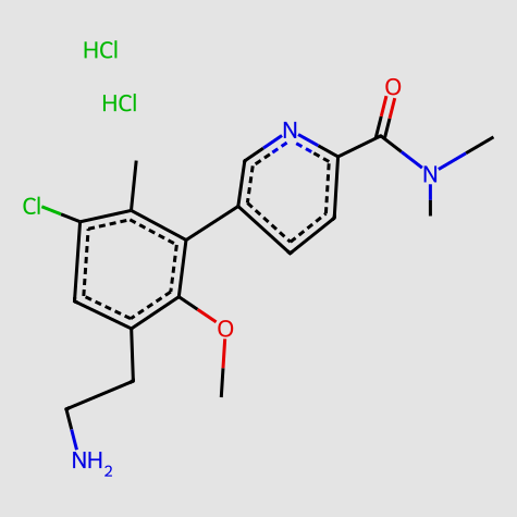 COc1c(CCN)cc(Cl)c(C)c1-c1ccc(C(=O)N(C)C)nc1.Cl.Cl